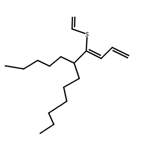 C=C/C=C(\SC=C)C(CCCCC)CCCCCC